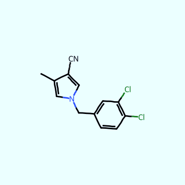 Cc1cn(Cc2ccc(Cl)c(Cl)c2)cc1C#N